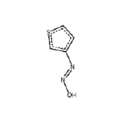 ON=Nc1ccsc1